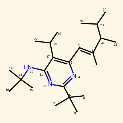 C/C(=C\c1nc(C(C)(C)C)nc(NC(C)(C)C)c1C(C)C)C(C)C(C)C